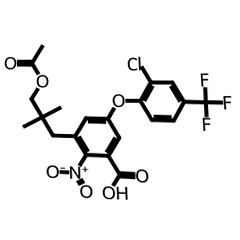 CC(=O)OCC(C)(C)Cc1cc(Oc2ccc(C(F)(F)F)cc2Cl)cc(C(=O)O)c1[N+](=O)[O-]